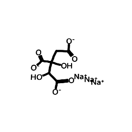 O=C([O-])CC(O)(C(=O)[O-])C(O)C(=O)[O-].[Na+].[Na+].[Na+]